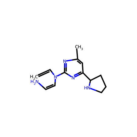 C=CN(/C=C\N)c1nc(C)cc(C2CCCN2)n1